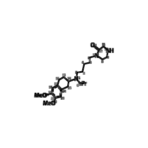 CCCN(CCCCCN1CCNCC1=O)C1CCc2cc(OC)c(OC)cc2C1